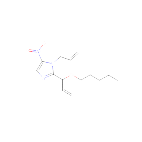 C=CCn1c([N+](=O)[O-])cnc1C(C=C)OCCCCC